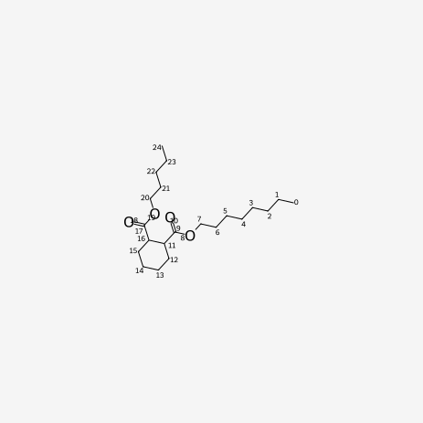 CCCCCCCCOC(=O)C1CCCCC1C(=O)OCCCCC